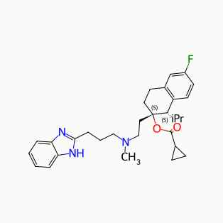 CC(C)[C@H]1c2ccc(F)cc2CC[C@@]1(CCN(C)CCCc1nc2ccccc2[nH]1)OC(=O)C1CC1